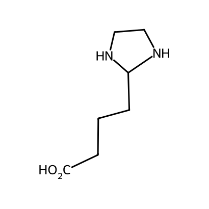 O=C(O)CCCC1NCCN1